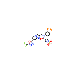 CS(=O)(=O)N1CC(C(=O)N(Cc2cn3ccc(-c4nnc(C(F)F)o4)cc3n2)c2cccc(P)c2)C1